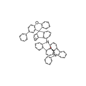 c1ccc(-c2ccc3c(c2)C2(c4ccccc4O3)c3ccccc3-c3c(N(c4ccc5c6ccccc6n(-c6ccccc6)c5c4)c4ccccc4-c4ccccc4)cccc32)cc1